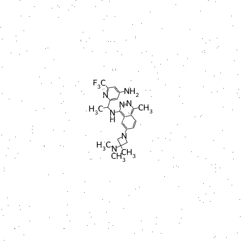 Cc1nnc(NC(C)c2cc(N)cc(C(F)(F)F)n2)c2cc(N3CC(C)(N(C)C)C3)ccc12